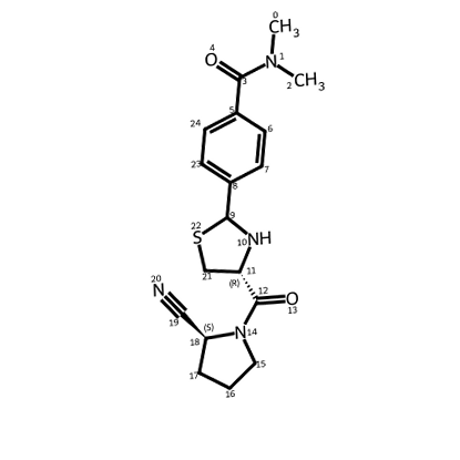 CN(C)C(=O)c1ccc(C2N[C@H](C(=O)N3CCC[C@H]3C#N)CS2)cc1